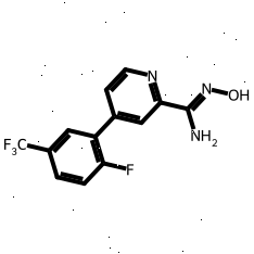 NC(=NO)c1cc(-c2cc(C(F)(F)F)ccc2F)ccn1